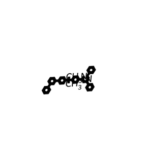 CC(C)(c1ccc(-c2cccc(-c3ccccc3)c2)cc1)c1ccc(-c2cc(-c3ccccc3)nc(-c3ccccc3)n2)cc1